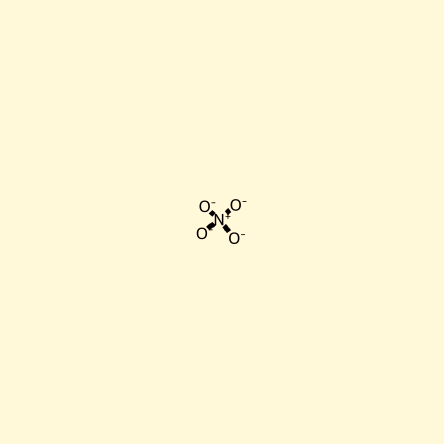 [O-][N+]([O-])([O-])[O-]